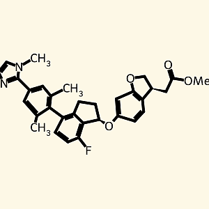 COC(=O)C[C@@H]1COc2cc(O[C@@H]3CCc4c(-c5c(C)cc(-c6nccn6C)cc5C)ccc(F)c43)ccc21